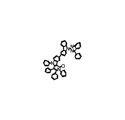 O=c1c2c3cc(-c4ccc5c(c4)c4ccccc4n5-c4nc(-c5ccccc5)c5ccccc5n4)ccc3n(-c3ccccc3)c2c(-c2ccccc2)c(-c2ccccc2)n1-c1ccccc1